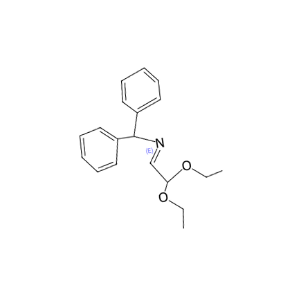 CCOC(/C=N/C(c1ccccc1)c1ccccc1)OCC